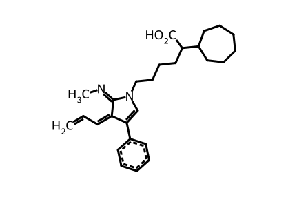 C=C/C=C1/C(c2ccccc2)=CN(CCCCC(C(=O)O)C2CCCCCC2)/C1=N/C